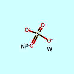 O=S(=O)([O-])[O-].[Ni+2].[W]